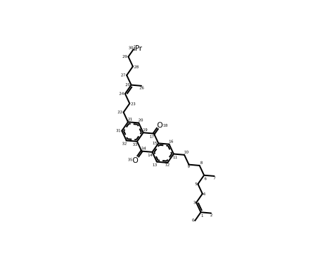 CC(C)=CCCC(C)CCCc1ccc2c(c1)C(=O)c1cc(CC/C=C(\C)CCCC(C)C)ccc1C2=O